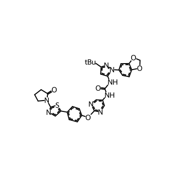 CC(C)(C)c1cc(NC(=O)Nc2cnc(Oc3ccc(-c4cnc(N5CCCC5=O)s4)cc3)nc2)n(-c2ccc3c(c2)OCO3)n1